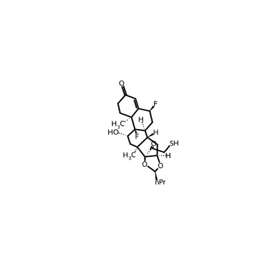 CCC[C@@H]1O[C@@H]2C[C@H]3[C@@H]4C[C@H](F)C5=CC(=O)CC[C@]5(C)[C@@]4(F)[C@@H](O)C[C@]3(C)[C@]2(C(=O)CS)O1